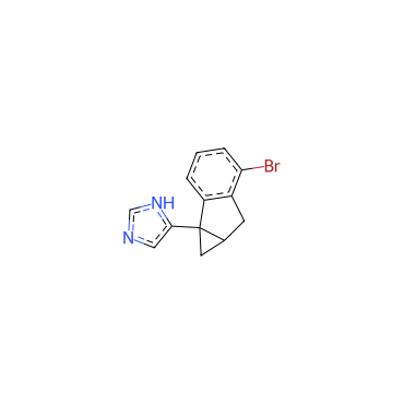 Brc1cccc2c1CC1CC21c1cnc[nH]1